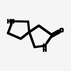 O=C1CC2(CCNC2)CN1